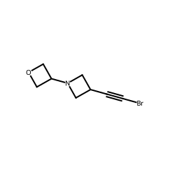 BrC#CC1CN(C2COC2)C1